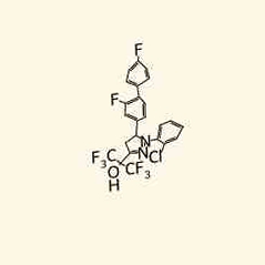 OC(C1=NN(c2ccccc2Cl)C(c2ccc(-c3ccc(F)cc3)c(F)c2)C1)(C(F)(F)F)C(F)(F)F